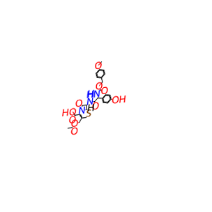 COc1ccc(COC(=O)NC(C(=O)N[C@@H]2C(=O)N3C(C(=O)O)=C(COC(C)=O)CS[C@@H]23)c2ccc(O)cc2)cc1